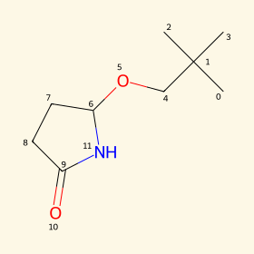 CC(C)(C)COC1CCC(=O)N1